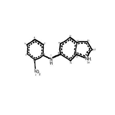 O=[N+]([O-])c1ccccc1Nc1ccc2cc[nH]c2c1